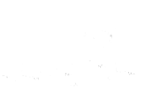 COC(=O)C[C@H](NC(=O)/C(C=N)=C/NCCCNC(=O)OC(C)(C)C)c1cc(Cl)cc(Cl)c1